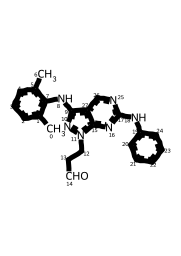 Cc1cccc(C)c1Nc1nn(CCC=O)c2nc(Nc3ccccc3)ncc12